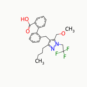 CCCCc1nn(CC(F)(F)F)c(COC)c1Cc1ccccc1-c1ccccc1C(=O)O